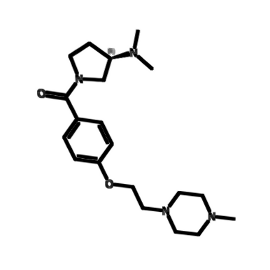 CN1CCN(CCOc2ccc(C(=O)N3CC[C@@H](N(C)C)C3)cc2)CC1